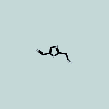 CCc1ncc(C=O)s1